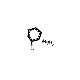 Clc1c[c]ccc1.[MgH2]